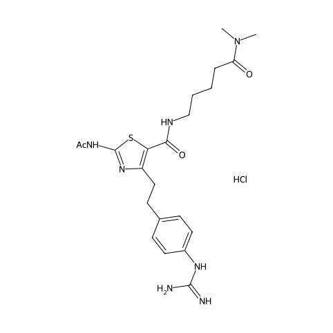 CC(=O)Nc1nc(CCc2ccc(NC(=N)N)cc2)c(C(=O)NCCCCC(=O)N(C)C)s1.Cl